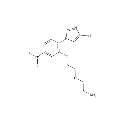 NCCOCCOc1cc([N+](=O)[O-])ccc1-n1cnc(Cl)c1